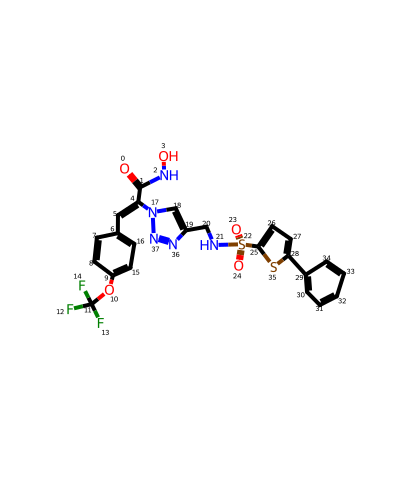 O=C(NO)C(=Cc1ccc(OC(F)(F)F)cc1)n1cc(CNS(=O)(=O)c2ccc(-c3ccccc3)s2)nn1